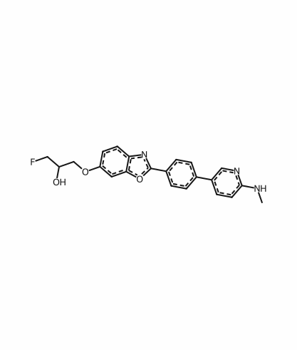 CNc1ccc(-c2ccc(-c3nc4ccc(OCC(O)CF)cc4o3)cc2)cn1